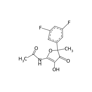 CC(=O)NC1=C(O)C(=O)C(C)(c2cc(F)cc(F)c2)O1